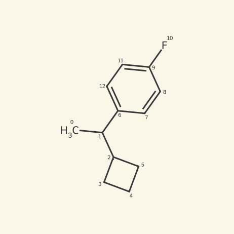 CC([C]1CCC1)c1ccc(F)cc1